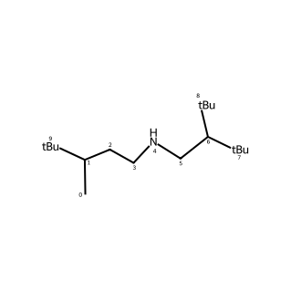 CC(CCNCC(C(C)(C)C)C(C)(C)C)C(C)(C)C